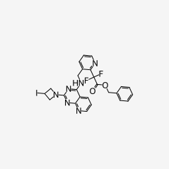 O=C(OCc1ccccc1)C(F)(F)c1ncccc1CNc1nc(N2CC(I)C2)nc2ncccc12